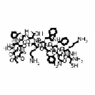 CC(=O)N(C(=O)C=S)C(=O)[C@H](CO)NC(=O)[C@@H](NC(=O)[C@H](Cc1ccccc1)NC(=O)[C@@H](NC(=O)[C@H](CCCCN)NC(=O)[C@H](Cc1c[nH]c2ccccc12)NC(=O)[C@H](Cc1ccccc1)NC(=O)[C@H](Cc1ccccc1)NC(=O)[C@H](CC(N)=O)NC(=O)[C@H](CCCCN)NC(=O)[C@@H](N)CS)[C@@H](C)O)[C@@H](C)O